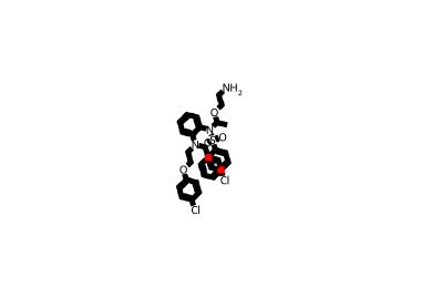 CC(OCCN)N(c1ccccc1N(CCOc1ccc(Cl)cc1)Cc1ccccc1)S(=O)(=O)c1ccc(Cl)cc1